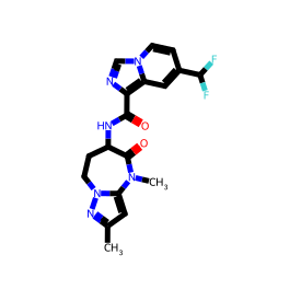 Cc1cc2n(n1)CCC(NC(=O)c1ncn3ccc(C(F)F)cc13)C(=O)N2C